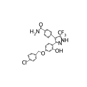 NC(=O)c1ccc(-c2c(-c3ccc(OCc4ccc(Cl)cc4)cc3O)n[nH]c2C(F)(F)F)cc1